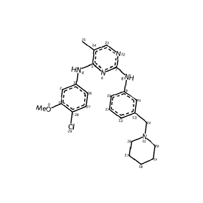 COc1cc(Nc2nc(Nc3cccc(CN4CCCCC4)c3)ncc2C)ccc1Cl